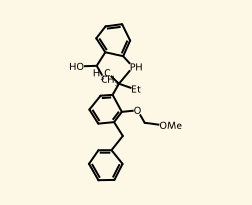 CCC(C)(Pc1ccccc1C(C)O)c1cccc(Cc2ccccc2)c1OCOC